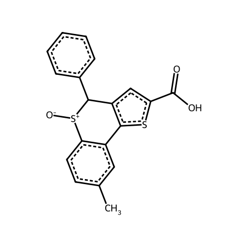 Cc1ccc2c(c1)-c1sc(C(=O)O)cc1C(c1ccccc1)[S+]2[O-]